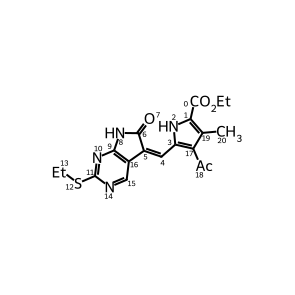 CCOC(=O)c1[nH]c(C=C2C(=O)Nc3nc(SCC)ncc32)c(C(C)=O)c1C